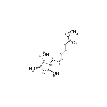 COC(=O)CCC/C=C\C[C@@H]1[C@@H](CO)[C@H](C)C[C@@H]1O